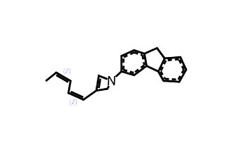 C/C=C\C=C/C1=CN(c2ccc3c(c2)-c2ccccc2C3)C1